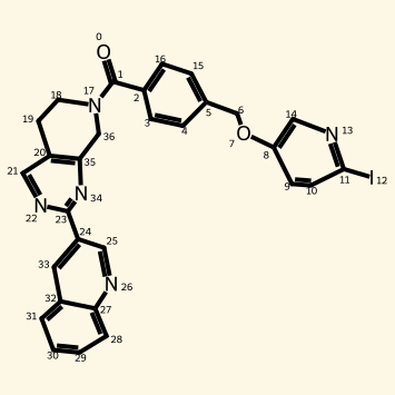 O=C(c1ccc(COc2ccc(I)nc2)cc1)N1CCc2cnc(-c3cnc4ccccc4c3)nc2C1